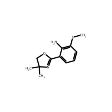 CSc1cccc(C2=NC(C)(C)CO2)c1N